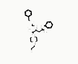 O=C(NC(Cc1nc2ccccc2s1)C(=O)N1CCN(CCF)CC1)OCc1ccccc1